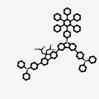 CCCCC(CC)CC1(CC(CC)CCCC)c2cc(-c3ccc(N(c4ccccc4)c4ccccc4)cc3)ccc2-c2ccc(-c3ccc4c(c3)c3cc(-c5ccc(N(c6ccccc6)c6ccccc6)cc5)ccc3n4-c3ccc(-c4c(-c5ccccc5)c(-c5ccccc5)c(-c5ccccc5)c(-c5ccccc5)c4-c4ccccc4)cc3)cc21